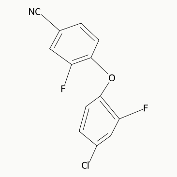 N#Cc1ccc(Oc2ccc(Cl)cc2F)c(F)c1